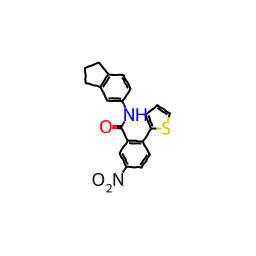 O=C(Nc1ccc2c(c1)CCC2)c1cc([N+](=O)[O-])ccc1-c1cccs1